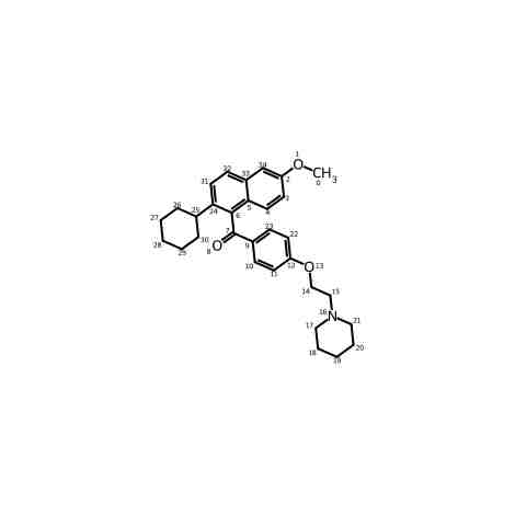 COc1ccc2c(C(=O)c3ccc(OCCN4CCCCC4)cc3)c(C3CCCCC3)ccc2c1